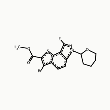 COC(=O)c1sc2c(ccc3c2c(F)nn3C2CCCCO2)c1Br